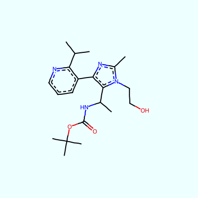 Cc1nc(-c2cccnc2C(C)C)c(C(C)NC(=O)OC(C)(C)C)n1CCO